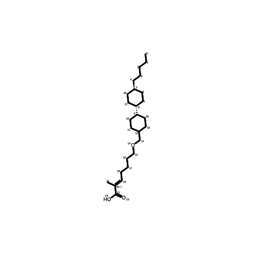 CCCCC[C@H]1CC[C@H](C2CCC(COCCCC/C=C(\C)C(=O)O)CC2)CC1